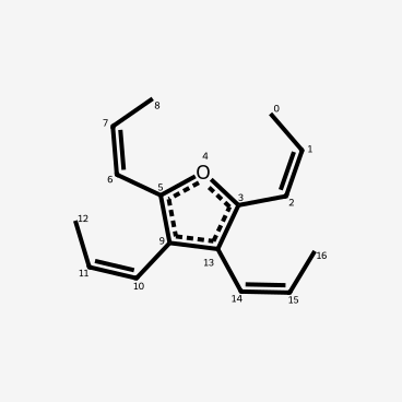 C/C=C\c1oc(/C=C\C)c(/C=C\C)c1/C=C\C